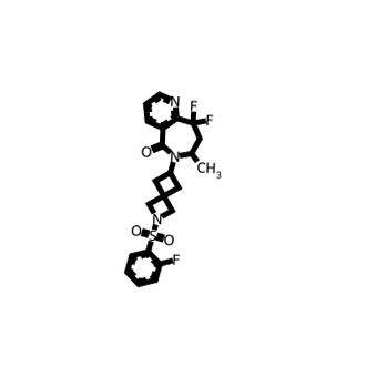 CC1CC(F)(F)c2ncccc2C(=O)N1C1CC2(C1)CN(S(=O)(=O)c1ccccc1F)C2